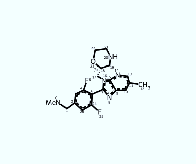 CNCc1cc(F)c(-c2nc3cc(C)cnc3n2C[C@H]2CNCCO2)c(F)c1